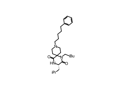 CCC(C)CN1C(=O)[C@H](CC(C)C)NC(=O)C12CCN(CCCCCc1ccccc1)CC2